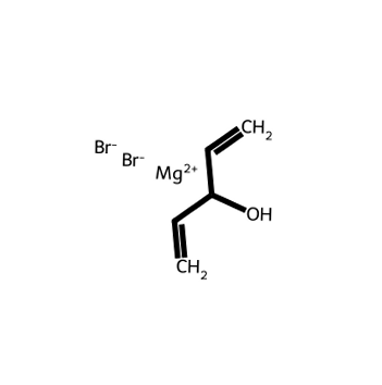 C=CC(O)C=C.[Br-].[Br-].[Mg+2]